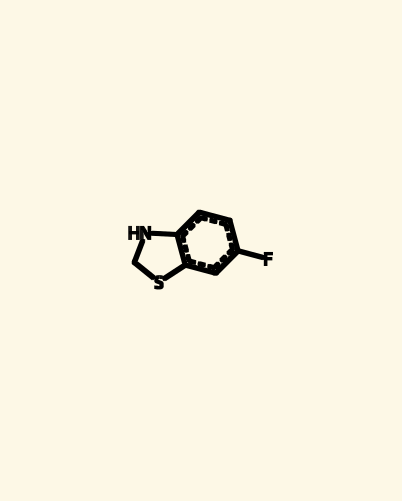 Fc1ccc2c(c1)SCN2